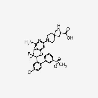 CS(=O)(=O)c1cccc(-c2ccc(Cl)cc2C(Oc2cc(N3CCC4(CC3)CNC(C(=O)O)C4)nc(N)n2)C(F)(F)F)c1